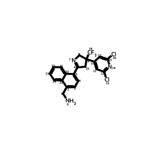 NCc1ccc(C2=NCC(c3cc(Cl)nc(Cl)c3)(C(F)(F)F)C2)c2ccccc12